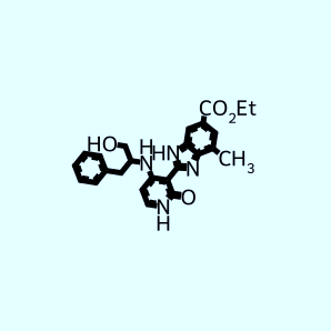 CCOC(=O)c1cc(C)c2nc(-c3c(NC(CO)Cc4ccccc4)cc[nH]c3=O)[nH]c2c1